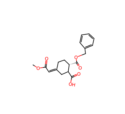 COC(=O)C=C1CC[C@H](C(=O)OCc2ccccc2)C(C(=O)O)C1